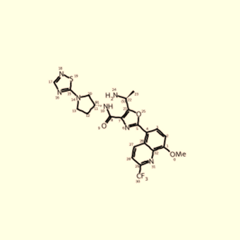 COc1ccc(-c2nc(C(=O)N[C@@H]3CCN(c4ncns4)C3)c([C@H](C)N)o2)c2ccc(C(F)(F)F)nc12